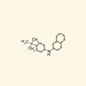 CC(C)(C)c1ccc(Nc2ccc3ccccc3c2)cc1